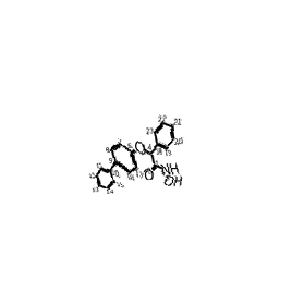 O=C(NO)C(Oc1ccc(-c2ccccc2)cc1)c1ccccc1